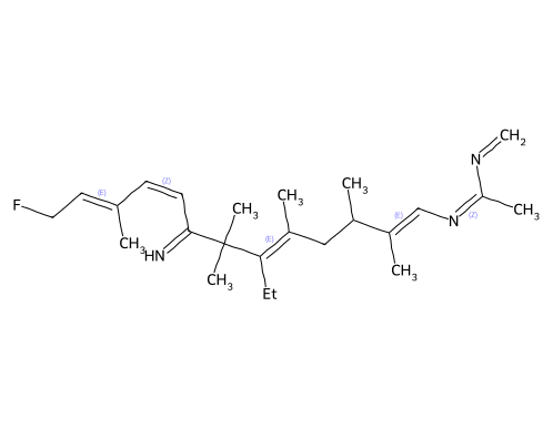 C=N/C(C)=N\C=C(/C)C(C)C/C(C)=C(\CC)C(C)(C)C(=N)/C=C\C(C)=C\CF